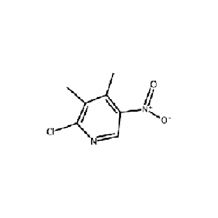 Cc1c([N+](=O)[O-])cnc(Cl)c1C